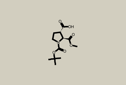 COC(=O)[C@@H]1[C@@H](C(=O)O)CCN1C(=O)OC(C)(C)C